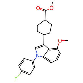 COC(=O)C1CCC(c2cn(-c3ccc(F)cc3)c3cccc(OC)c23)CC1